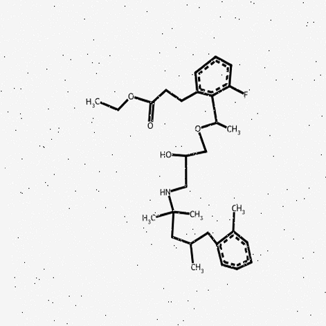 CCOC(=O)CCc1cccc(F)c1C(C)OCC(O)CNC(C)(C)CC(C)Cc1ccccc1C